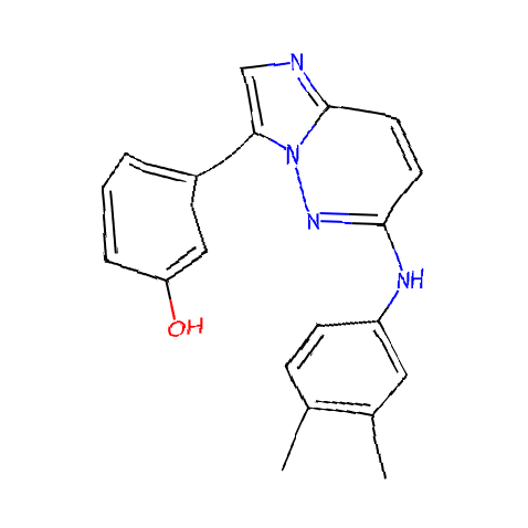 Cc1ccc(Nc2ccc3ncc(-c4cccc(O)c4)n3n2)cc1C